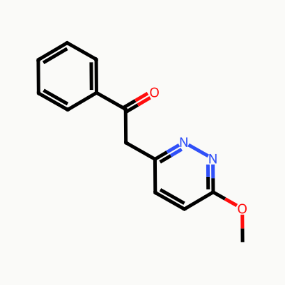 COc1ccc(CC(=O)c2ccccc2)nn1